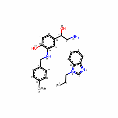 CC(C)CCn1cnc2ccccc21.COc1ccc(CNc2cc(C(O)CN)ccc2O)cc1